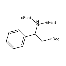 CCCCCCCCCCCC(c1ccccc1)[SiH](CCCCC)CCCCC